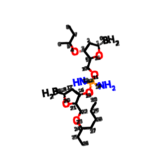 B[C@H]1C[C@@H](OC(C)CC)C(COP(=N)(N)O[C@@H]2C[C@H](B)OC2COC(CC)CCCC)O1